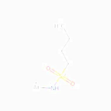 CCCCS(=O)(=O)N[At]